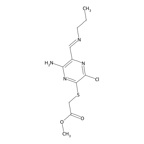 CCCN=Cc1nc(Cl)c(SCC(=O)OC)nc1N